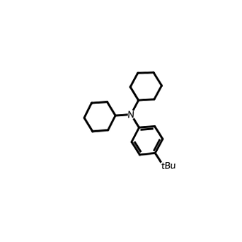 CC(C)(C)c1ccc(N(C2CCCCC2)C2CCCCC2)cc1